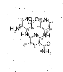 NC(=O)c1cc(F)c(NC2CCCC[C@@H]2N)nc1Nc1ccnc(C(=O)O)c1